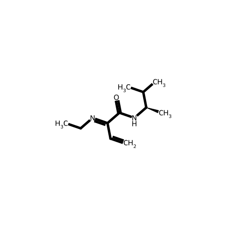 C=C/C(=N\CC)C(=O)N[C@H](C)C(C)C